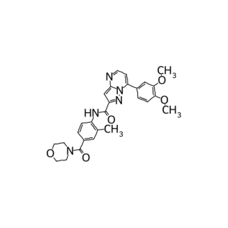 COc1ccc(-c2ccnc3cc(C(=O)Nc4ccc(C(=O)N5CCOCC5)cc4C)nn23)cc1OC